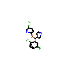 Fc1ccc(F)c(C(Sc2ccc(Cl)cn2)c2ccncc2)c1